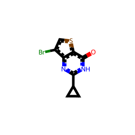 O=c1[nH]c(C2CC2)nc2c(Br)csc12